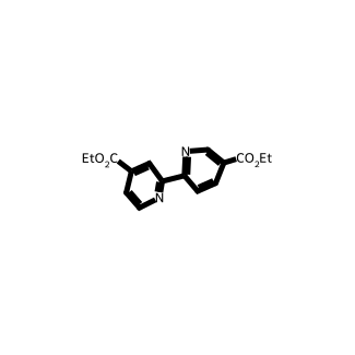 CCOC(=O)c1ccc(-c2cc(C(=O)OCC)ccn2)nc1